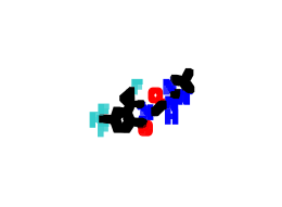 Cc1cnc(NC(=O)CN2C[C@]3(C[C@H]3F)c3cc(C(F)(F)F)ccc3C2=O)nc1